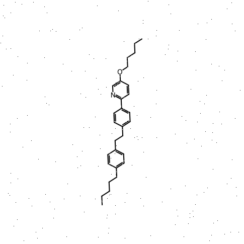 CCCCCOc1ccc(-c2ccc(CCc3ccc(CCCCC)cc3)cc2)nc1